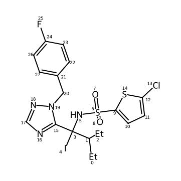 CCC(CC)C(I)(NS(=O)(=O)c1ccc(Cl)s1)c1ncnn1Cc1ccc(F)cc1